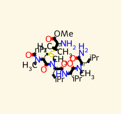 CCCC(=O)N(C)[C@H](CSC(C)(C)[C@@H](N)C(=O)OC)C(=O)N(C)[C@@H](CC(C)C)C(=O)N[C@H](C(=O)N(C)[C@@H](CC(C)C)C(N)=O)C(C)C